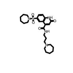 O=C(NCCCN1CCCCCC1)c1cc(=O)[nH]c2ccc(S(=O)(=O)N3CCCCCC3)cc12